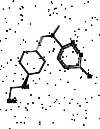 CC(=O)OCN[C@H]1CC[C@H](CN(C)c2ccc(Br)nn2)CC1